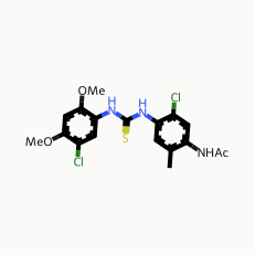 COc1cc(OC)c(NC(=S)Nc2cc(C)c(NC(C)=O)cc2Cl)cc1Cl